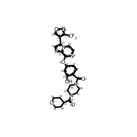 O=C(c1ccc(Oc2nccn3c(-c4conc4C(F)(F)F)cnc23)cc1O)N1CCN(C(=O)C2CCOCC2)CC1